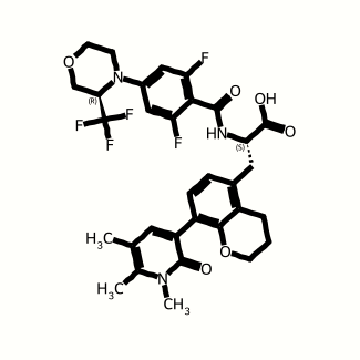 Cc1cc(-c2ccc(C[C@H](NC(=O)c3c(F)cc(N4CCOC[C@@H]4C(F)(F)F)cc3F)C(=O)O)c3c2OCCC3)c(=O)n(C)c1C